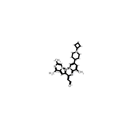 Cc1cn2nc(C(=C/C=O)/N=c3/c(C)cc(C4CCN(C5CCC5)CC4)cn3C)cc2c(C)n1